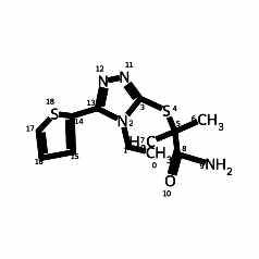 CCn1c(SC(C)(C)C(N)=O)nnc1-c1cccs1